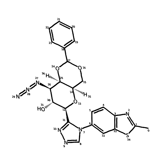 Cc1nc2ccc(-n3cnnc3[C@@H]3O[C@@H]4COC(c5ccccc5)O[C@@H]4[C@H](N=[N+]=[N-])[C@H]3O)cc2s1